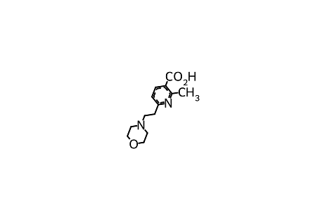 Cc1nc(CCN2CCOCC2)ccc1C(=O)O